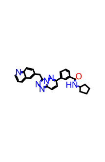 O=C(NC1CCCC1)c1cccc(-c2ccc3nnc(Cc4ccc5ncccc5c4)n3n2)c1